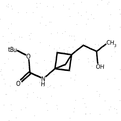 CC(O)CC12CC(NC(=O)OC(C)(C)C)(C1)C2